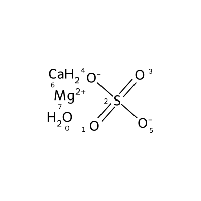 O.O=S(=O)([O-])[O-].[CaH2].[Mg+2]